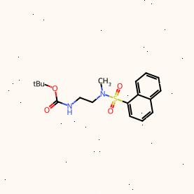 CN(CCNC(=O)OC(C)(C)C)S(=O)(=O)c1cccc2ccccc12